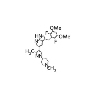 COc1cc(OC)c(F)c(Cc2c[nH]c3ncc(-c4cn(C5CCN(C)CC5)nc4C)cc23)c1F